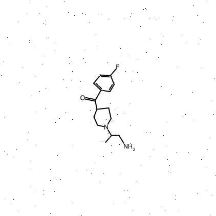 CC(CN)N1CCC(C(=O)c2ccc(F)cc2)CC1